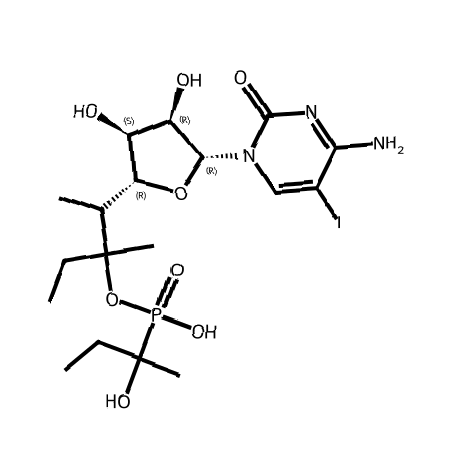 CCC(C)(OP(=O)(O)C(C)(O)CC)C(C)[C@H]1O[C@@H](n2cc(I)c(N)nc2=O)[C@H](O)[C@@H]1O